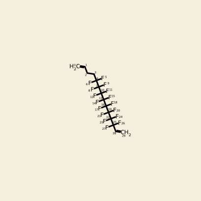 C=CCCC(F)(F)C(F)(F)C(F)(F)C(F)(F)C(F)(F)C(F)(F)C(F)(F)C(F)(F)C=C